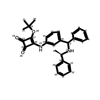 C[C@@H](NC(c1ccccc1)c1cccc(Nc2c(OC(C)(C)C)c(=O)c2=O)c1)c1ccccc1